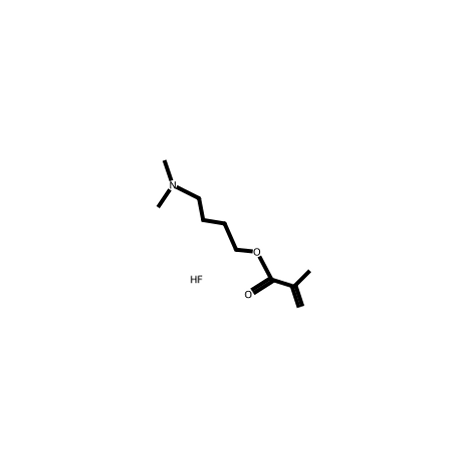 C=C(C)C(=O)OCCCCN(C)C.F